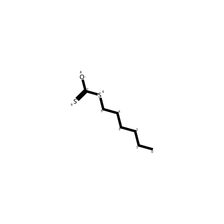 CCCCCCSC([O])=S